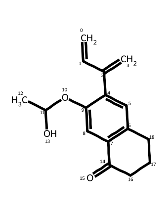 C=CC(=C)c1cc2c(cc1OC(C)O)C(=O)CCC2